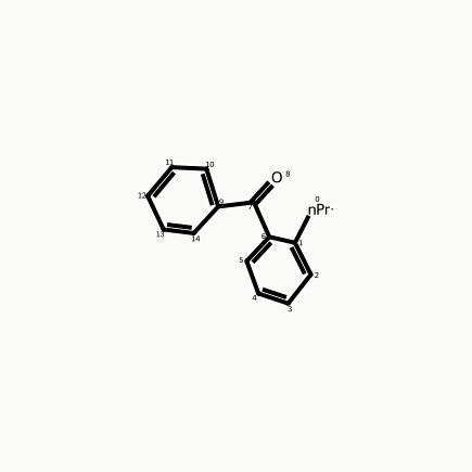 CC[CH]c1ccccc1C(=O)c1ccccc1